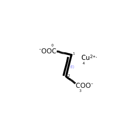 O=C([O-])/C=C/C(=O)[O-].[Cu+2]